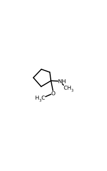 CNC1(OC)CCCC1